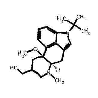 CO[C@]12CC(CO)CN(C)[C@@H]1Cc1cn(C(C)(C)C)c3cccc2c13